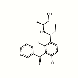 CC[C@@H](N[C@@H](C)CO)c1ccc(Cl)c(C(=O)c2cccnc2)c1F